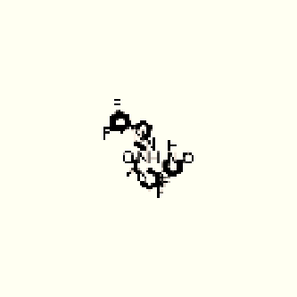 C[C@@H](C(=O)Nc1cn2c(n1)CC[C@H]2c1cc(F)cc(F)c1)N1CCC(F)(F)[C@@H](c2ccc(=O)[nH]c2)C1